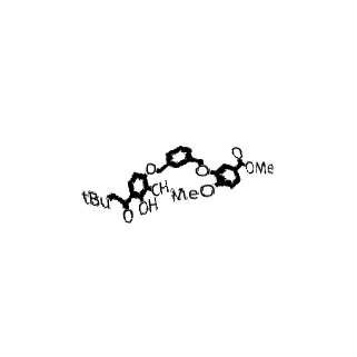 COC(=O)c1ccc(OC)c(OCc2cccc(COc3ccc(C(=O)CC(C)(C)C)c(O)c3C)c2)c1